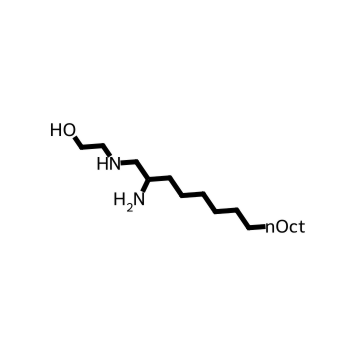 CCCCCCCCCCCCCCC(N)CNCCO